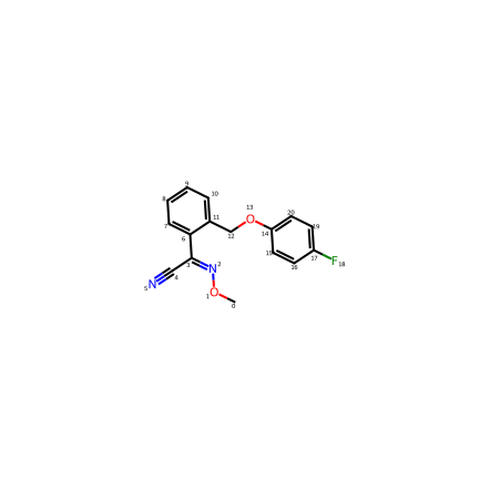 CON=C(C#N)c1ccccc1COc1ccc(F)cc1